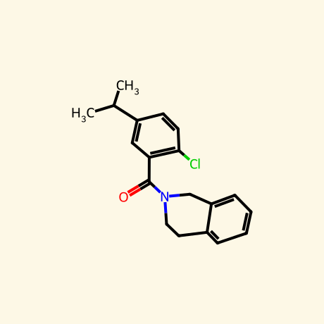 CC(C)c1ccc(Cl)c(C(=O)N2CCc3ccccc3C2)c1